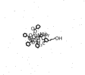 Cc1cc(/C=C/CCO)ccc1Cc1c(O[C@H]2O[C@H](COC(=O)c3ccccc3)[C@@H](OC(=O)c3ccccc3)[C@H](OC(=O)c3ccccc3)[C@H]2OC(=O)c2ccccc2)n[nH]c1C(C)C